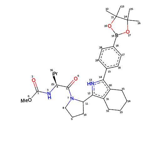 COC(=O)N[C@H](C(=O)N1CCCC1c1[nH]c(-c2ccc(B3OC(C)(C)C(C)(C)O3)cc2)c2c1CCCC2)C(C)C